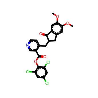 COc1cc2c(cc1OC)C(=O)C(Cc1ccncc1C(=O)Oc1c(Cl)cc(Cl)cc1Cl)C2